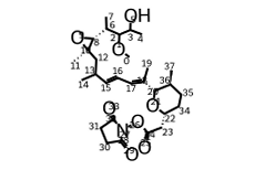 COC(C(C)O)C(C)[C@H]1O[C@]1(C)CC(C)/C=C/C=C(\C)[C@H]1O[C@@H](CC(=O)ON2C(=O)CCC2=O)CC[C@@H]1C